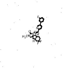 CN1CC2(C[C@H]3CC(F)(F)CC[C@H]3[C@@H]2C=Cc2ccc(-c3cccc(F)c3)cn2)N(C)C1=O